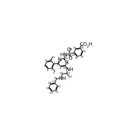 Cc1cccc(C)c1-c1cc(NC(C)CNCc2ccccc2)nc(NS(=O)(=O)c2cccc(C(=O)O)c2)n1